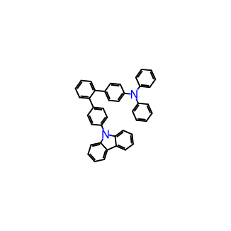 c1ccc(N(c2ccccc2)c2ccc(-c3ccccc3-c3ccc(-n4c5ccccc5c5ccccc54)cc3)cc2)cc1